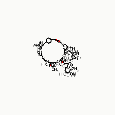 CC[C@H]1OC(=O)[C@H](C)[C@@H](O[C@H]2C[C@@](C)(OC)[C@@H](O)[C@H](C)O2)[C@H](C)[C@H]2O[C@@H]3O[C@H](C)C[C@@H]([C@H]3O)N(C)CCc3cn(nn3)[C@H](CF)[C@H](OC)c3ccc(cc3)-c3ccc(nc3)N3CCNC(C3)([C@H](C)C[C@@]2(C)O)N(C)[C@H](C)[C@@H](O)[C@]1(C)O